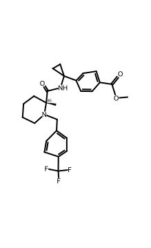 COC(=O)c1ccc(C2(NC(=O)[C@@]3(C)CCCCN3Cc3ccc(C(F)(F)F)cc3)CC2)cc1